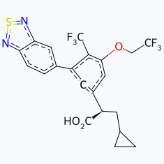 O=C(O)[C@H](CC1CC1)c1cc(OCC(F)(F)F)c(C(F)(F)F)c(-c2ccc3nsnc3c2)c1